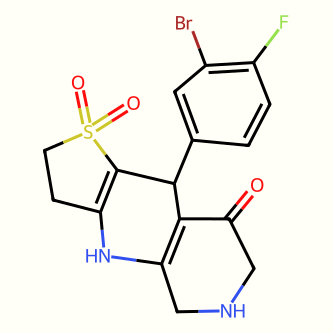 O=C1CNCC2=C1C(c1ccc(F)c(Br)c1)C1=C(CCS1(=O)=O)N2